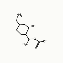 CC(O[N+](=O)[O-])C1CCC(CN)CC1.Cl